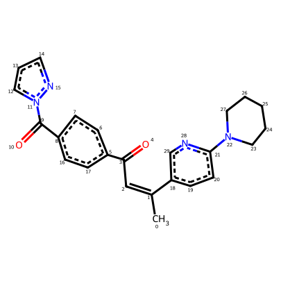 CC(=CC(=O)c1ccc(C(=O)n2cccn2)cc1)c1ccc(N2CCCCC2)nc1